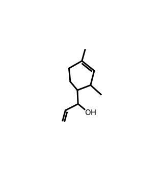 C=CC(O)C1CCC(C)=CC1C